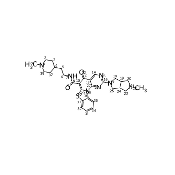 CN1CCC(CCNC(=O)c2c(=O)c3cnc(N4CC5CN(C)CC5C4)nc3n3c2sc2ccccc23)CC1